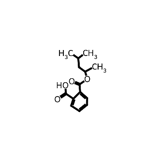 CC(C)CC(C)OC(=O)c1ccccc1C(=O)O